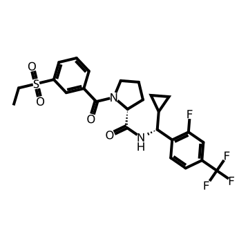 CCS(=O)(=O)c1cccc(C(=O)N2CCC[C@@H]2C(=O)N[C@@H](c2ccc(C(F)(F)F)cc2F)C2CC2)c1